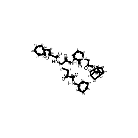 O=C(Cn1cccc(NC(=O)[C@H](CCC(=O)C(=O)Nc2ccccc2)NC(=O)c2cc3ccccc3o2)c1=O)NC1C2CC3CC(C2)C1C3